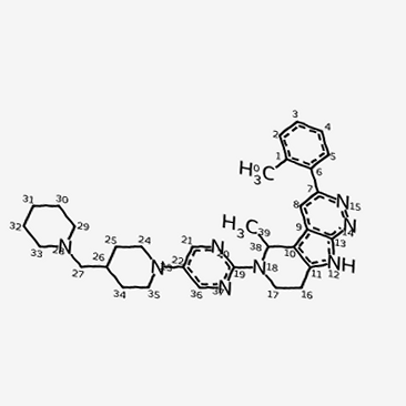 Cc1ccccc1-c1cc2c3c([nH]c2nn1)CCN(c1ncc(N2CCC(CN4CCCCC4)CC2)cn1)C3C